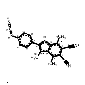 Cc1c(C#N)c(C#N)c(C)c2c(C)c(-c3ccc(N=C=S)cc3)sc12